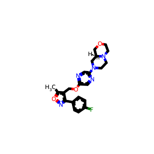 Cc1onc(-c2ccc(F)cc2)c1COc1cnc(N2CCN3CCOC[C@@H]3C2)cn1